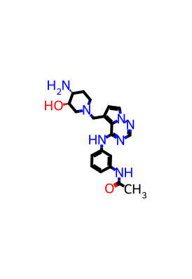 CC(=O)Nc1cccc(Nc2ncnn3ccc(CN4CC[C@@H](N)[C@H](O)C4)c23)c1